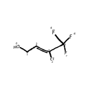 OCC=C(Cl)C(F)(F)F